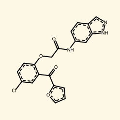 O=C(COc1ccc(Cl)cc1C(=O)c1ccco1)Nc1ccc2cn[nH]c2c1